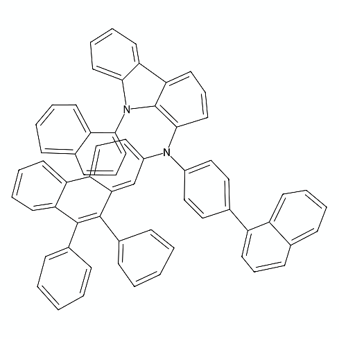 c1ccc(-c2c(-c3ccccc3)c3cc(N(c4ccc(-c5cccc6ccccc56)cc4)c4cccc5c6ccccc6n(-c6cccc7ccccc67)c45)ccc3c3ccccc23)cc1